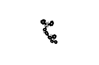 c1ccc(-c2nc(-c3ccccc3)nc(-c3ccc4sc5cc(-c6cccc7c6sc6cccc(-n8c9ccccc9c9ccccc98)c67)ccc5c4c3)n2)cc1